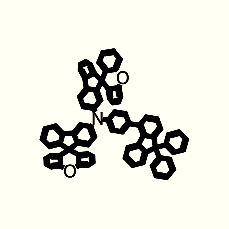 c1ccc(C2(c3ccccc3)c3ccccc3-c3c(-c4ccc(N(c5ccc6c(c5)-c5ccccc5C65c6ccccc6Oc6ccccc65)c5ccc6c(c5)C5(c7ccccc7Oc7ccccc75)c5ccccc5-6)cc4)cccc32)cc1